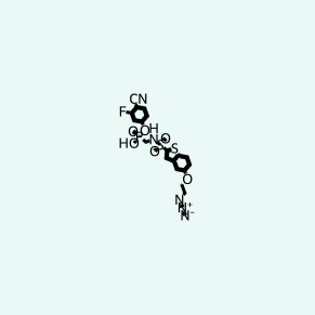 N#Cc1ccc(OP(=O)(O)CNS(=O)(=O)c2cc3cc(OCCN=[N+]=[N-])ccc3s2)cc1F